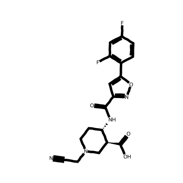 N#CCN1CC[C@H](NC(=O)c2cc(-c3ccc(F)cc3F)on2)[C@@H](C(=O)O)C1